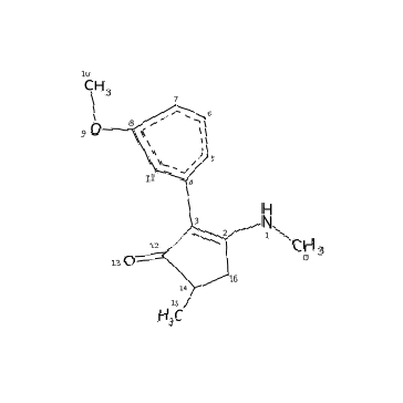 CNC1=C(c2cccc(OC)c2)C(=O)C(C)C1